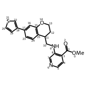 COC(=O)c1ccncc1NCC1CCOc2cc(-c3ccsc3)ccc21